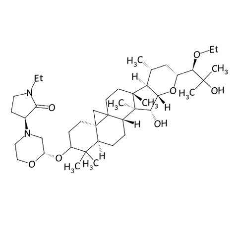 CCO[C@H]([C@H]1C[C@@H](C)[C@H]2[C@H](O1)[C@H](O)[C@@]1(C)[C@@H]3CC[C@H]4C(C)(C)C(O[C@H]5CN([C@H]6CCN(CC)C6=O)CCO5)CC[C@@]45CC35CC[C@]21C)C(C)(C)O